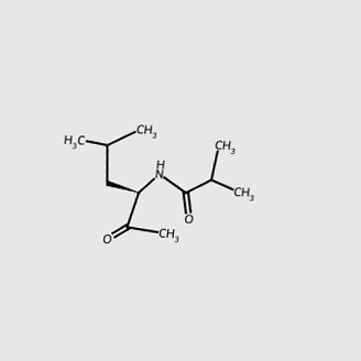 CC(=O)[C@@H](CC(C)C)NC(=O)C(C)C